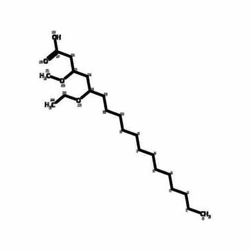 CCCCCCCCCCCCCC(CC(CC(=O)O)OC)OCC